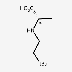 C[C@H](NCCC(C)(C)C)C(=O)O